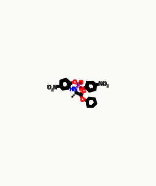 C[C@H](NP(=O)(Oc1ccc([N+](=O)[O-])cc1)Oc1ccc([N+](=O)[O-])cc1)C(=O)OC1CCCCC1